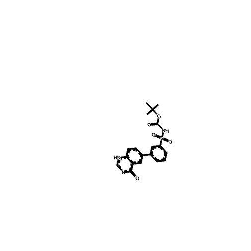 CC(C)(C)OC(=O)NS(=O)(=O)c1cccc(-c2ccc3[nH]cnc(=O)c3c2)c1